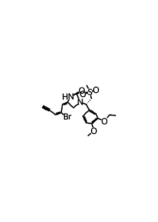 C#C/C=C(Br)\C=C1/CN([C@H](CS(C)(=O)=O)c2ccc(OC)c(OCC)c2)C(=O)N1